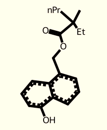 CCCC(C)(CC)C(=O)OCc1cccc2c(O)cccc12